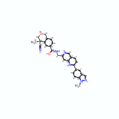 Cn1ncc2cc(-c3ccc4cnc(CNC(=O)c5ccc6c(c5)[C@](C)(C#N)COC6)cc4n3)ccc21